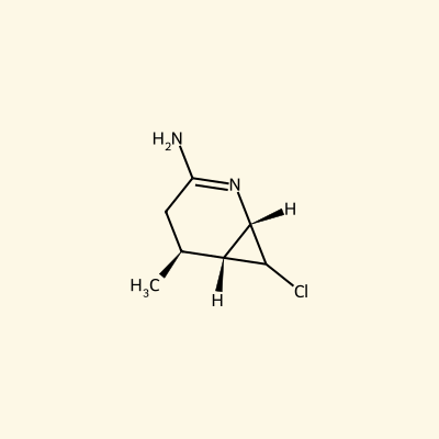 C[C@H]1CC(N)=N[C@@H]2C(Cl)[C@@H]21